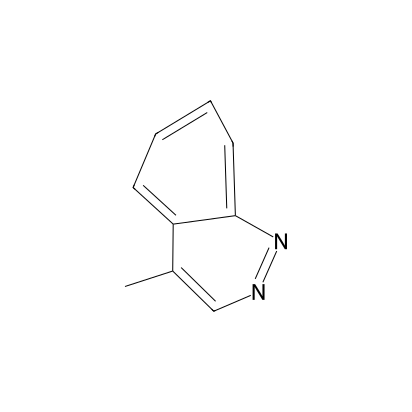 Cc1cnnc2ccccc12